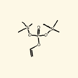 C=COP(=O)(O[Si](C)(C)C)O[Si](C)(C)C